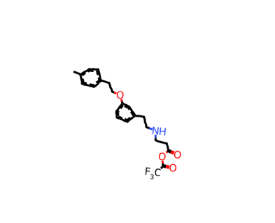 Cc1ccc(CCOc2cccc(CCNCCC(=O)OC(=O)C(F)(F)F)c2)cc1